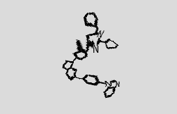 C1=CC(c2nc(-c3ccccc3)cc(-c3ccc(-c4cccc5ccc(-c6ccc(-n7cnc8ccccc87)cc6)cc45)cc3)n2)=CCC1